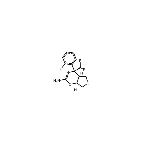 NC1=N[C@@](c2ccccc2F)(C(F)F)[C@H]2COC[C@H]2O1